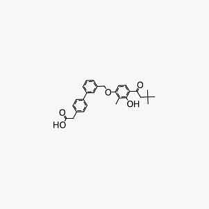 Cc1c(OCc2cccc(-c3ccc(CC(=O)O)cc3)c2)ccc(C(=O)CC(C)(C)C)c1O